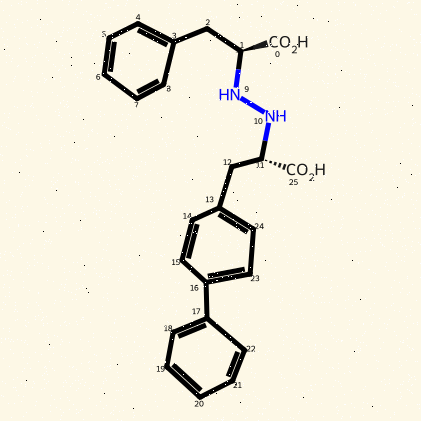 O=C(O)[C@H](Cc1ccccc1)NN[C@@H](Cc1ccc(-c2ccccc2)cc1)C(=O)O